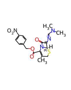 CC1=C(C(=O)OCc2ccc([N+](=O)[O-])cc2)N2C(=O)[C@@H](/N=C/N(C)C)[C@H]2SC1